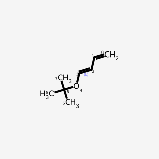 C=C/C=C/OC(C)(C)C